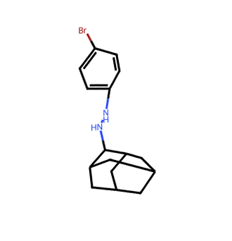 Brc1ccc(NNC2C3CC4CC(C3)CC2C4)cc1